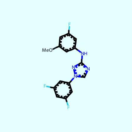 COc1cc(F)cc(Nc2ncn(-c3cc(F)cc(F)c3)n2)c1